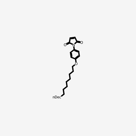 CCCCCCCCCCCCCCCCCCOc1ccc(N2C(=O)C=CC2=O)cc1